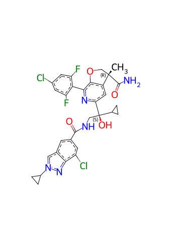 C[C@]1(C(N)=O)COc2c1cc([C@@](O)(CNC(=O)c1cc(Cl)c3nn(C4CC4)cc3c1)C1CC1)nc2-c1c(F)cc(Cl)cc1F